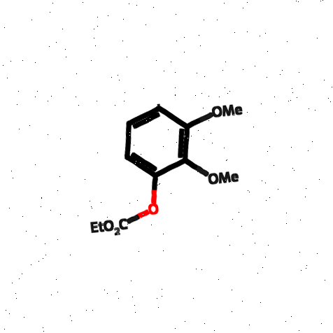 CCOC(=O)Oc1cc[c]c(OC)c1OC